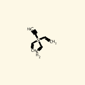 C#C[Si](C=C)(C=C)C=C